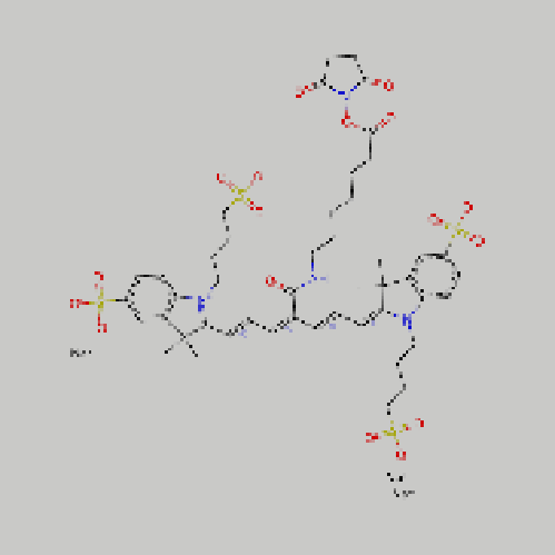 CC1(C)C(/C=C/C=C(/C=C/C=C2/N(CCCCS(=O)(=O)[O-])c3ccc(S(=O)(=O)[O-])cc3C2(C)C)C(=O)NCCCCCCC(=O)ON2C(=O)CCC2=O)=[N+](CCCCS(=O)(=O)[O-])c2ccc(S(=O)(=O)[O-])cc21.[Na+].[Na+].[Na+]